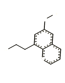 COc1cc(CCBr)c2ncccc2c1